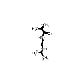 C=C(C)C(=O)NCCNC(C)C